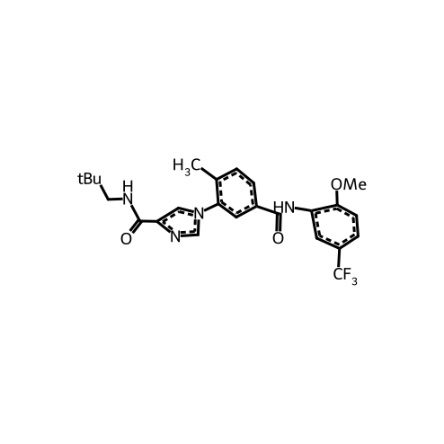 COc1ccc(C(F)(F)F)cc1NC(=O)c1ccc(C)c(-n2cnc(C(=O)NCC(C)(C)C)c2)c1